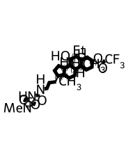 CC[C@H]1[C@@H](O)[C@@H]2[C@H](CC[C@]3(C)[C@@H](CCCNC(=O)NS(=O)(=O)NC)CC[C@@H]23)[C@@]2(C)CC[C@@H](OC(=O)C(F)(F)F)C[C@@H]12